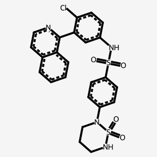 O=S(=O)(Nc1ccc(Cl)c(-c2nccc3ccccc23)c1)c1ccc(N2CCCNS2(=O)=O)cc1